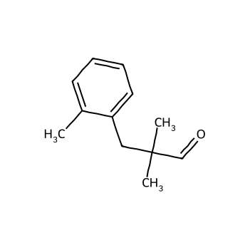 Cc1ccccc1CC(C)(C)C=O